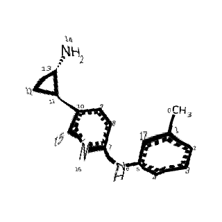 Cc1cccc(Nc2ccc([C@H]3C[C@@H]3N)cn2)c1